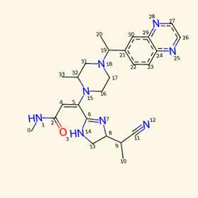 CNC(=O)/C=C(\C1=NC(C(C)C#N)CN1)N1CCN(C(C)c2ccc3nccnc3c2)CC1C